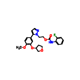 COc1ccc(-c2ccnn2CCOC(=O)Nc2ccccc2F)cc1OC1CCOC1